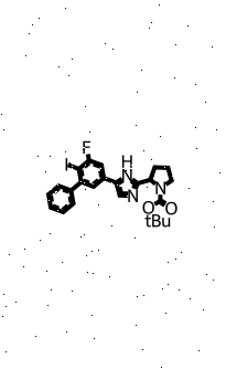 CC(C)(C)OC(=O)N1CCCC1c1ncc(-c2cc(F)c(I)c(-c3ccccc3)c2)[nH]1